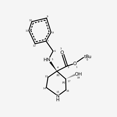 CC(C)(C)OC(=O)[C@@]1(NCc2ccccc2)CCNC[C@H]1O